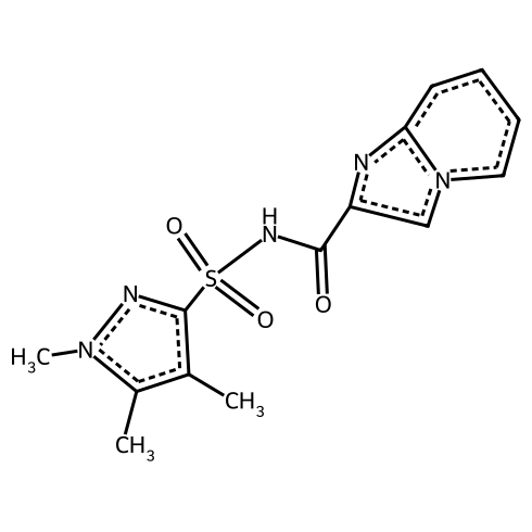 Cc1c(S(=O)(=O)NC(=O)c2cn3ccccc3n2)nn(C)c1C